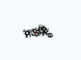 COc1ccc2ncc(CN3CCOCC3)c([C@@H](F)CCC3(C(O)C(O)C4CCNCC4)CCN(CCSc4c(F)cc(F)cc4F)CC3)c2c1